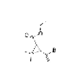 C=C(Br)C1C(C(=O)OCC)C1(C)C